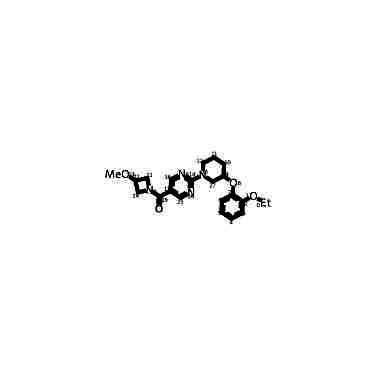 CCOc1ccccc1OC1CCCN(c2ncc(C(=O)N3CC(OC)C3)cn2)C1